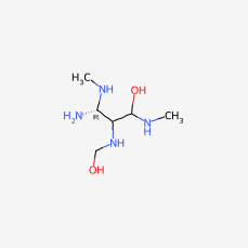 CNC(O)C(NCO)[C@H](N)NC